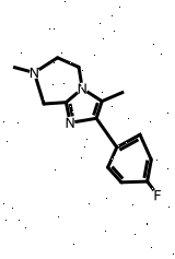 Cc1c(-c2ccc(F)cc2)nc2n1CCN(C)C2